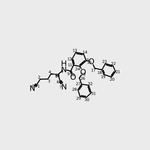 N#CCCC[C@H](C#N)NC(=O)c1cccc(OCc2ccccc2)c1OCc1ccccc1